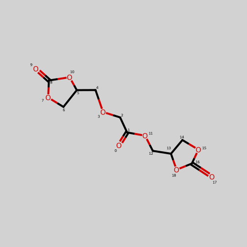 O=C(COCC1COC(=O)O1)OCC1COC(=O)O1